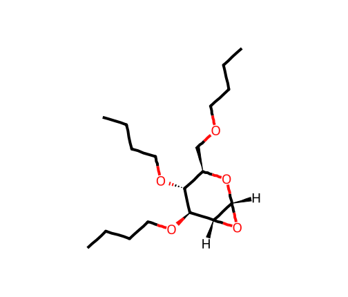 CCCCOC[C@H]1O[C@@H]2O[C@@H]2[C@@H](OCCCC)[C@@H]1OCCCC